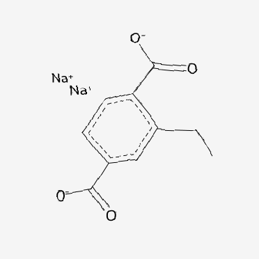 CCc1cc(C(=O)[O-])ccc1C(=O)[O-].[Na+].[Na+]